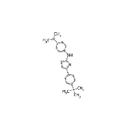 CN(C)c1ccc(Nc2nc(-c3ccc(C(C)(C)C)cc3)cs2)cc1